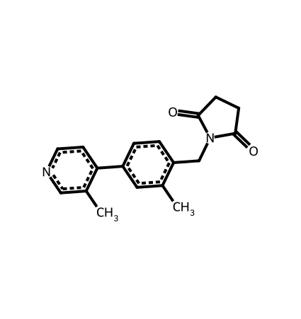 Cc1cc(-c2ccncc2C)ccc1CN1C(=O)CCC1=O